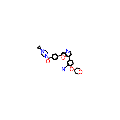 N#Cc1cc(-c2ccnc3cc(-c4ccc(C(=O)N5CCN(C6CC6)CC5)cc4)oc23)ccc1OC1CCOCC1